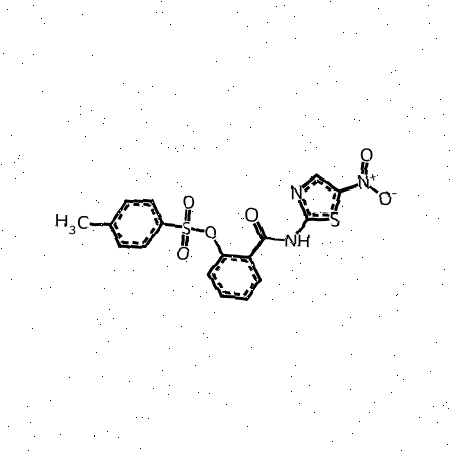 Cc1ccc(S(=O)(=O)Oc2ccccc2C(=O)Nc2ncc([N+](=O)[O-])s2)cc1